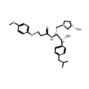 COc1ccc(OCCC(=O)N[C@H](CN2CC[C@H](O)C2)[C@H](O)c2ccc(CC(C)C)cc2)cc1